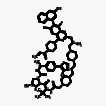 C=CC(=O)N1CCN(c2nc(O[C@H](C)CN3CCN(CCCC4CCN(CC(=O)N[C@H](C(=O)N5C[C@H](O)C[C@H]5C(=O)N[C@@H](C)c5ccc(-c6scnc6C)cc5)C(C)(C)C)CC4)CC3)nc3c(F)c(-c4cc(O)cc5ccccc45)c(Cl)cc23)CC1